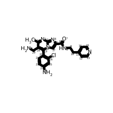 Cc1nc2nc(C(=O)NCCc3ccncc3)cn2c(-c2ccc(N)cc2Cl)c1CN